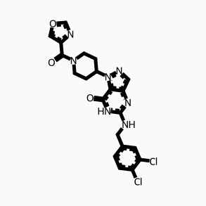 O=C(c1cocn1)N1CCC(n2ncc3nc(NCc4ccc(Cl)c(Cl)c4)[nH]c(=O)c32)CC1